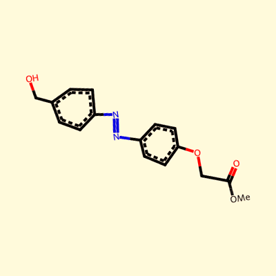 COC(=O)COc1ccc(/N=N/c2ccc(CO)cc2)cc1